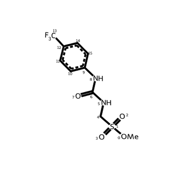 COS(=O)(=O)CNC(=O)Nc1ccc(C(F)(F)F)cc1